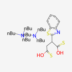 CCCCN(CCCC)CCCC.CCCCN(CCCC)CCCC.OC(=S)CC(C(O)=S)c1nc2ccccc2s1